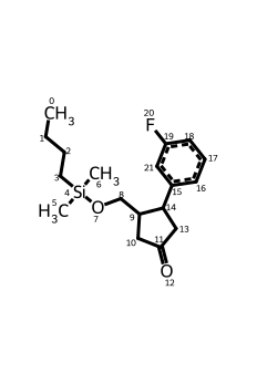 CCCC[Si](C)(C)OCC1CC(=O)CC1c1cccc(F)c1